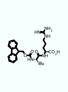 CC[C@H](C)[C@H](NC(=O)OCC1c2ccccc2-c2ccccc21)C(=O)N[C@@H](CCCNC(=N)N)C(=O)O